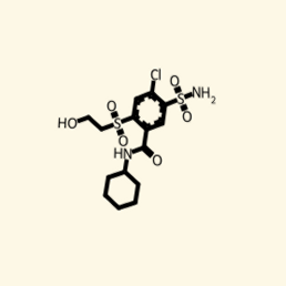 NS(=O)(=O)c1cc(C(=O)NC2CCCCC2)c(S(=O)(=O)CCO)cc1Cl